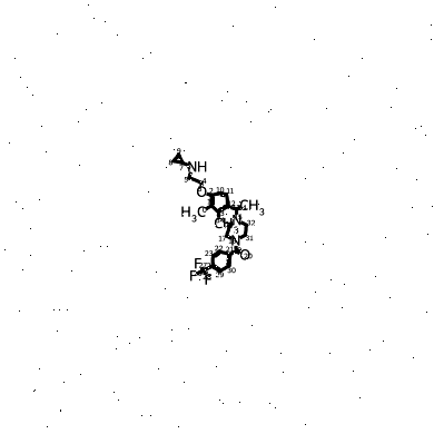 Cc1c(OCCNC2CC2)ccc(C(C)N2CCN(C(=O)c3ccc(C(F)(F)F)cc3)CC2)c1C